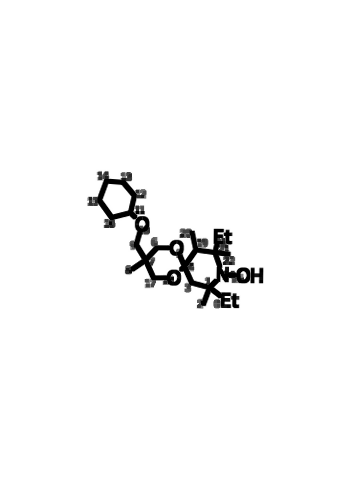 CCC1(C)CC2(OCC(C)(COC3CCCCC3)CO2)C(C)C(C)(CC)N1O